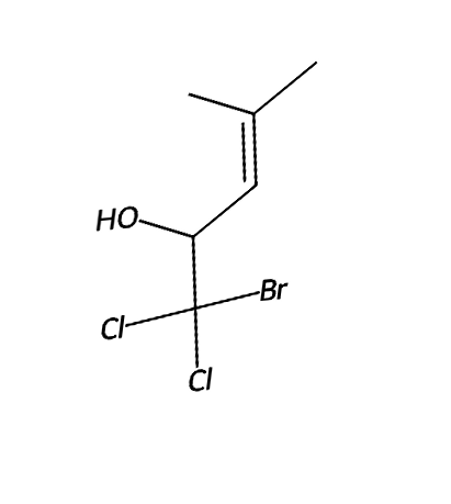 CC(C)=CC(O)C(Cl)(Cl)Br